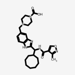 Cc1nocc1C(=O)NC(c1nc2cc(CN3CCN(C(=O)O)CC3)ccc2[nH]1)C1CCCCCCC1